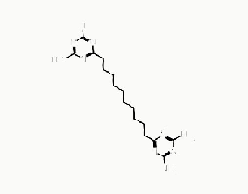 Nc1nc(N)nc(CCCCCCCCCCc2nc(N)nc(N)n2)n1